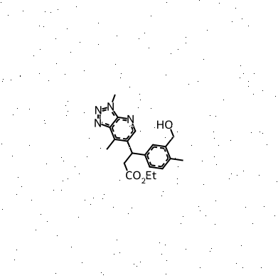 CCOC(=O)CC(c1ccc(C)c(CO)c1)c1cnc2c(nnn2C)c1C